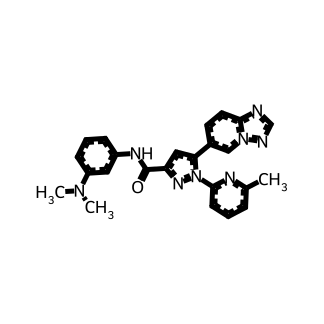 Cc1cccc(-n2nc(C(=O)Nc3cccc(N(C)C)c3)cc2-c2ccc3ncnn3c2)n1